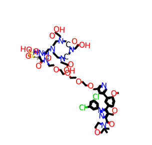 COc1cc2c(cc1-c1cncc(COCCOCCOCCOCCNC(=O)[C@H](CS(=O)(=O)O)NC(=O)CN3CCN(CC(=O)O)CCN(CC(=O)O)CCN(CC(=O)O)CC3)c1)-c1c(c(C(=O)N3CCOCC3(C)C)nn1-c1cc(Cl)cc(Cl)c1)CO2